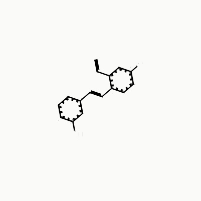 C=Cc1cc(O)ccc1C=Cc1cccc(O)c1